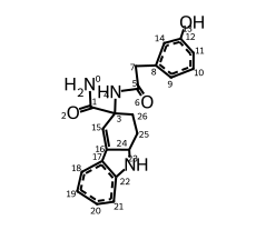 NC(=O)C1(NC(=O)Cc2cccc(O)c2)C=C2c3ccccc3NC2CC1